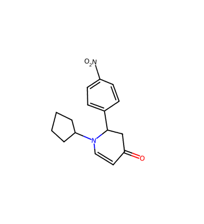 O=C1C=CN(C2CCCC2)C(c2ccc([N+](=O)[O-])cc2)C1